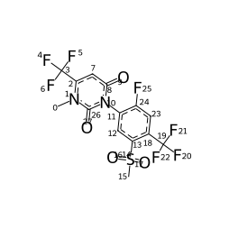 Cn1c(C(F)(F)F)cc(=O)n(-c2cc(S(C)(=O)=O)c(C(F)(F)F)cc2F)c1=O